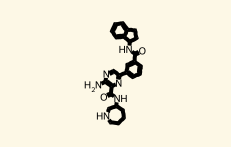 Nc1ncc(-c2cccc(C(=O)NC3CCc4ccccc43)c2)nc1C(=O)NC1CCCCNC1